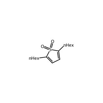 CCCCCCC1=CC=C(CCCCCC)S1(=O)=O